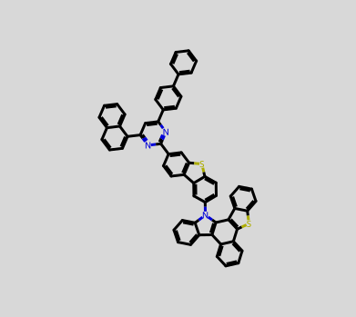 c1ccc(-c2ccc(-c3cc(-c4cccc5ccccc45)nc(-c4ccc5c(c4)sc4ccc(-n6c7ccccc7c7c8ccccc8c8sc9ccccc9c8c76)cc45)n3)cc2)cc1